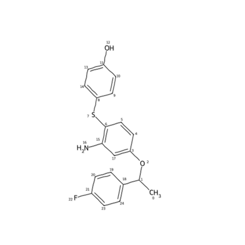 CC(Oc1ccc(Sc2ccc(O)cc2)c(N)c1)c1ccc(F)cc1